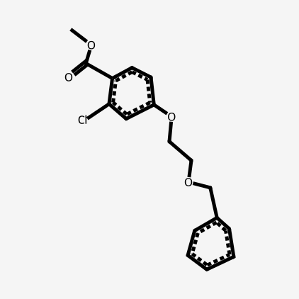 COC(=O)c1ccc(OCCOCc2ccccc2)cc1Cl